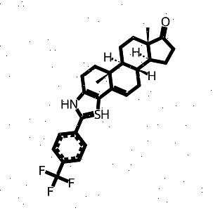 C[C@]12CCC3=C([SH]=C(c4ccc(C(F)(F)F)cc4)N3)C1=CC[C@@H]1[C@@H]2CC[C@]2(C)C(=O)CC[C@@H]12